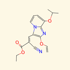 C=COc1nc2c(OC(C)C)cccn2c1C=C(C#N)C(=O)OCC